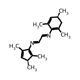 CC1=C[C@@H](C)CC(C)=C1/N=C/C=N/C1=C(C)[C@@H](C)C=C1C